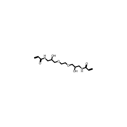 C=CC(=O)NCC(O)COCCOCC(O)CNC(=O)C=C